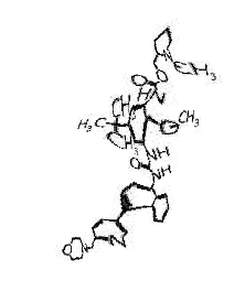 COc1c(NC(=O)Nc2ccc(-c3ccc(CN4CCOCC4)nc3)c3ccccc23)cc(C(C)(C)C)cc1NC(=O)OCC1CCCN1C